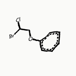 ClC(Br)COc1ccccc1